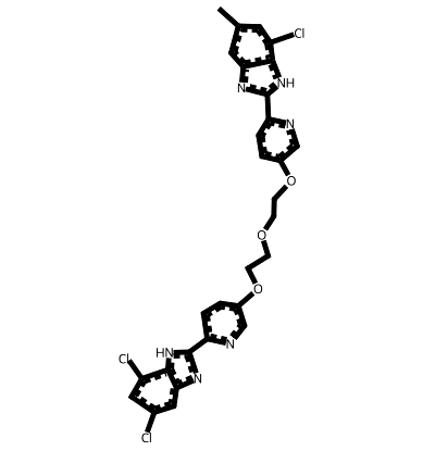 Cc1cc(Cl)c2[nH]c(-c3ccc(OCCOCCOc4ccc(-c5nc6cc(Cl)cc(Cl)c6[nH]5)nc4)cn3)nc2c1